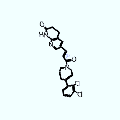 O=C1CCc2cc(/C=C/C(=O)N3CC=C(c4cccc(Cl)c4Cl)CCC3)cnc2N1